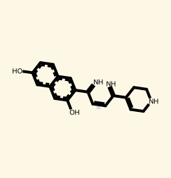 N=C(/C=C\C(=N)c1cc2ccc(O)cc2cc1O)C1=CCNCC1